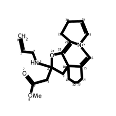 C=CCNC1(CC(=O)OC)CC23CCCCC2=CN2C=CCCC2=C3O1